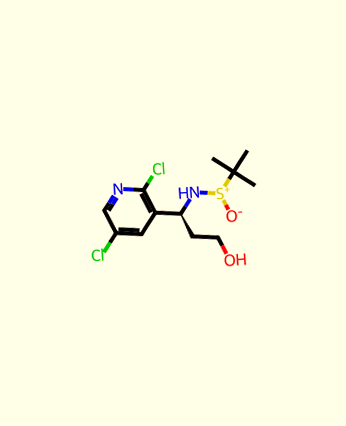 CC(C)(C)[S+]([O-])N[C@@H](CCO)c1cc(Cl)cnc1Cl